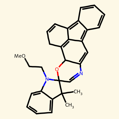 COCCN1c2ccccc2C(C)(C)C12C=NC1=CC3=c4ccccc4=C4C=CCC(=C43)C1O2